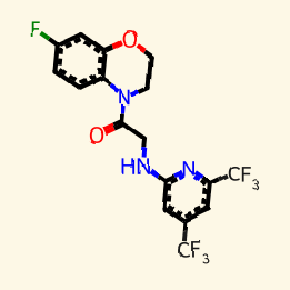 O=C(CNc1cc(C(F)(F)F)cc(C(F)(F)F)n1)N1CCOc2cc(F)ccc21